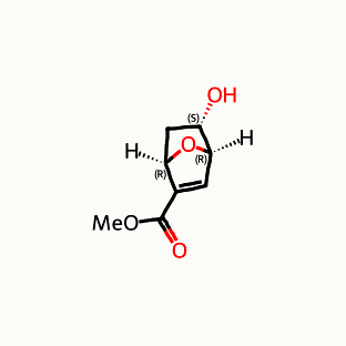 COC(=O)C1=C[C@H]2O[C@@H]1C[C@@H]2O